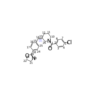 O=C(c1ccc(Cl)cc1)N1CCC/C(=C/c2ccc(C3=NCCO3)cc2)C1